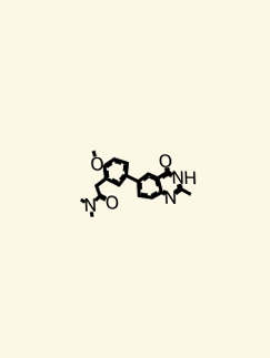 COc1ccc(-c2ccc3nc(C)[nH]c(=O)c3c2)cc1CC(=O)N(C)C